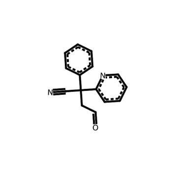 N#CC(CC=O)(c1ccccc1)c1ccccn1